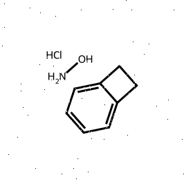 Cl.NO.c1ccc2c(c1)CC2